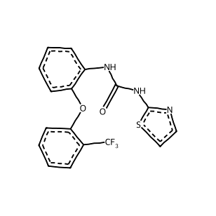 O=C(Nc1nccs1)Nc1ccccc1Oc1ccccc1C(F)(F)F